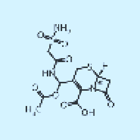 CC(=O)OC(NC(=O)CS(N)(=O)=O)C1=C(C(=O)O)N2C(=O)C[C@H]2SC1